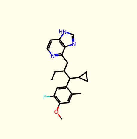 CCC(Cc1nccc2[nH]cnc12)C(c1cc(F)c(OC)cc1C)C1CC1